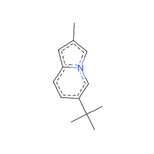 Cc1cc2ccc(C(C)(C)C)cn2c1